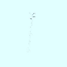 CCCCCCCCCCCCCCCCCC(=O)c1c[pH]cc1CC